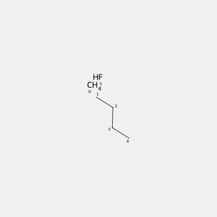 C.CCCC.F